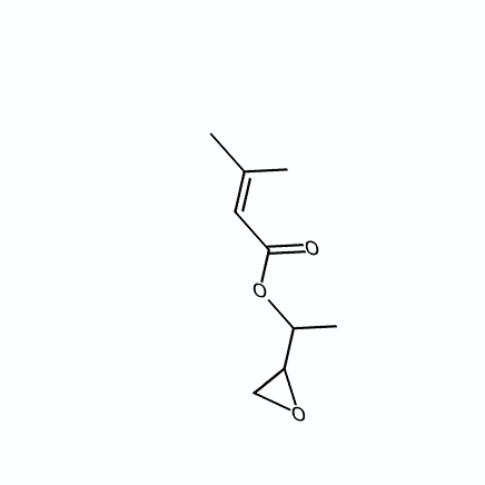 CC(C)=CC(=O)OC(C)C1CO1